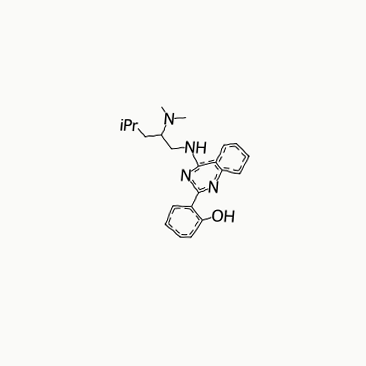 CC(C)CC(CNc1nc(-c2ccccc2O)nc2ccccc12)N(C)C